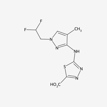 Cc1cn(CC(F)F)nc1Nc1nnc(C(=O)O)s1